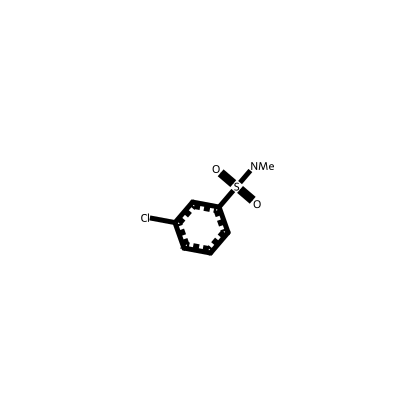 CNS(=O)(=O)c1cc[c]c(Cl)c1